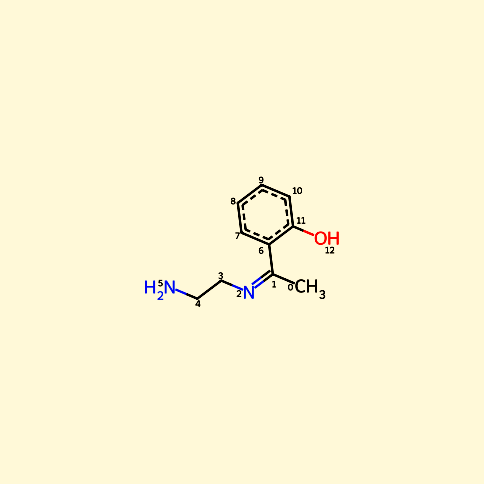 C/C(=N/CCN)c1ccccc1O